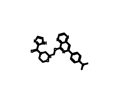 CN(C)c1ccc(-c2cc3nccnc3c(OC[C@@H]3CN(C(=O)c4ncc[nH]4)CCO3)n2)cc1